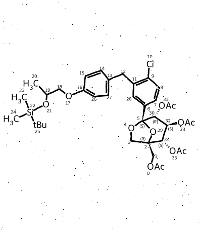 CC(=O)OC[C@@]12CO[C@@](c3ccc(Cl)c(Cc4ccc(OCC(C)O[Si](C)(C)C(C)(C)C)cc4)c3)(O1)[C@H](OC(C)=O)[C@@H](OC(C)=O)[C@@H]2OC(C)=O